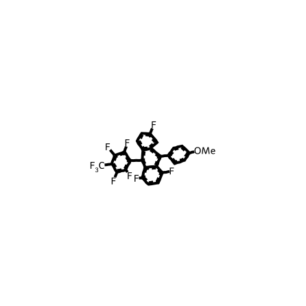 COc1ccc(-c2c3cc(F)ccc3c(-c3c(F)c(F)c(C(F)(F)F)c(F)c3F)c3c(F)ccc(F)c23)cc1